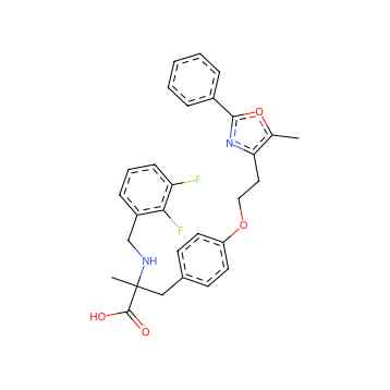 Cc1oc(-c2ccccc2)nc1CCOc1ccc(CC(C)(NCc2cccc(F)c2F)C(=O)O)cc1